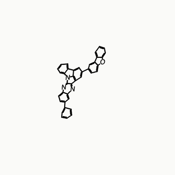 c1ccc(-c2ccc3nc4c(nc3c2)c2cc(-c3ccc5oc6ccccc6c5c3)cc3c5ccccc5n4c32)cc1